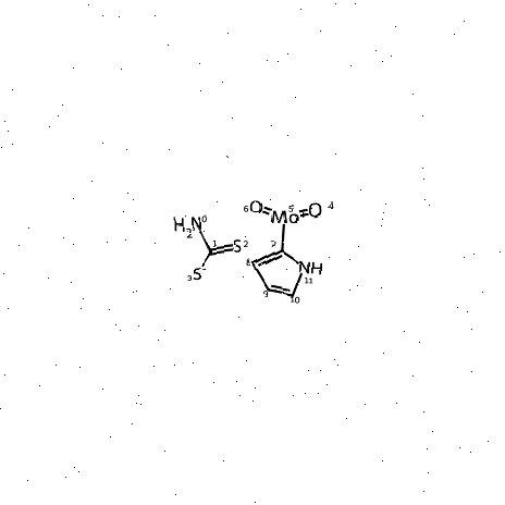 NC(=S)[S-].[O]=[Mo+](=[O])[c]1ccc[nH]1